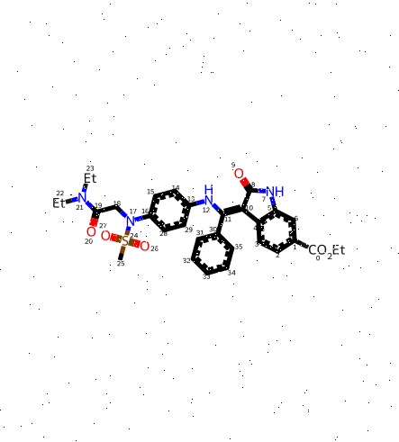 CCOC(=O)c1ccc2c(c1)NC(=O)/C2=C(\Nc1ccc(N(CC(=O)N(CC)CC)S(C)(=O)=O)cc1)c1ccccc1